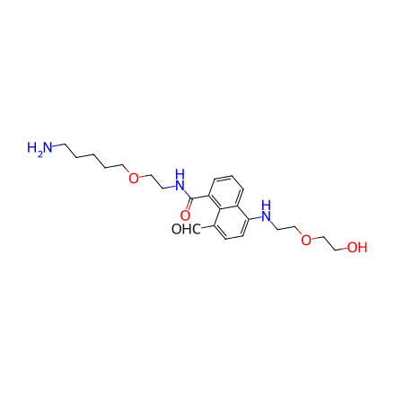 NCCCCCOCCNC(=O)c1cccc2c(NCCOCCO)ccc(C=O)c12